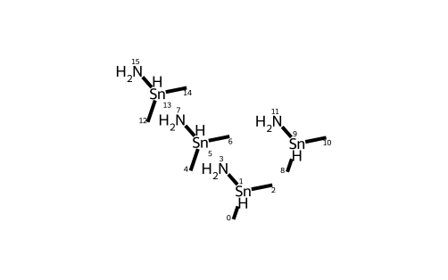 [CH3][SnH]([CH3])[NH2].[CH3][SnH]([CH3])[NH2].[CH3][SnH]([CH3])[NH2].[CH3][SnH]([CH3])[NH2]